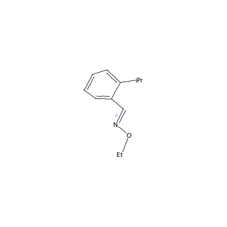 CCO/N=C/c1ccccc1C(C)C